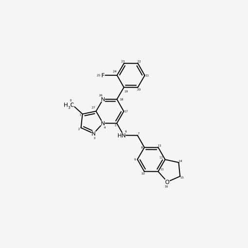 Cc1cnn2c(NCc3ccc4c(c3)CCO4)cc(-c3ccccc3F)nc12